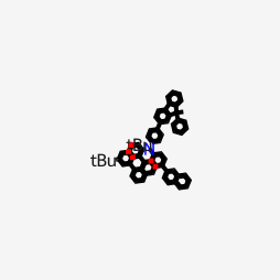 CC(C)(C)c1cc(-c2cccc3cccc(-c4ccccc4N(c4ccc(-c5ccc6c(c5)C(C)(c5ccccc5)c5ccccc5-6)cc4)c4ccc(-c5ccc6ccccc6c5)cc4)c23)cc(C(C)(C)C)c1